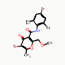 CCOCc1oc(C)c(Br)c(=O)c1C(=O)Nc1c(CC)cc(Br)cc1CC